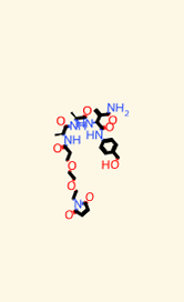 C=C(C(N)=O)[C@H](NC(=O)[C@H](C)NC(=O)[C@H](C)NC(=O)CCOCCOCCN1C(=O)C=CC1=O)C(=O)Nc1ccc(CO)cc1